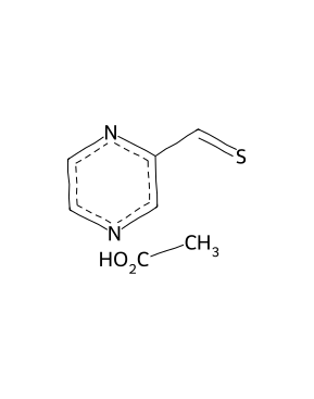 CC(=O)O.S=Cc1cnccn1